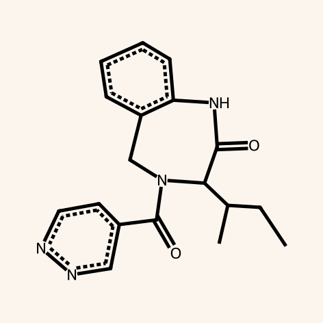 CCC(C)C1C(=O)Nc2ccccc2CN1C(=O)c1ccnnc1